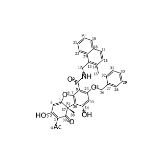 CC(=O)C1=C(O)C=C2Oc3c(C(=O)NCc4c(C)ccc5ccccc45)c(OCc4ccccc4)cc(O)c3[C@]2(C)C1=O